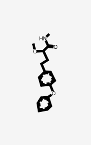 CNC(=O)C(CCc1ccc(Oc2ccccc2)cc1)OC